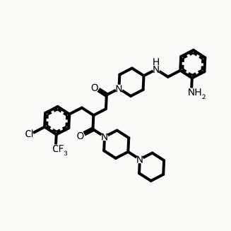 Nc1ccccc1CNC1CCN(C(=O)CC(Cc2ccc(Cl)c(C(F)(F)F)c2)C(=O)N2CCC(N3CCCCC3)CC2)CC1